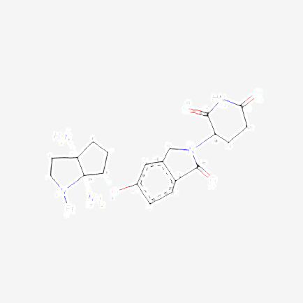 CCN1CC[C@@]2(N)CC[C@H](Oc3ccc4c(c3)CN(C3CCC(=O)NC3=O)C4=O)[C@@]12N